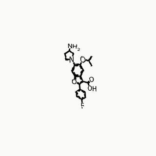 CC(C)Oc1cc2c(C(=O)O)c(-c3ccc(F)cc3)oc2cc1N1CCC(N)C1